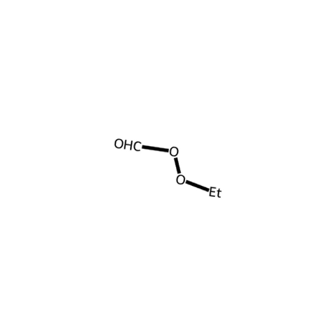 CCOOC=O